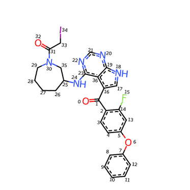 O=C(c1ccc(Oc2ccccc2)cc1F)c1c[nH]c2ncnc(NC3CCCCN(C(=O)CI)C3)c12